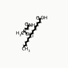 CCCCCCCCCCCCCCCC(=O)O.CN(C)CCC(N)=O